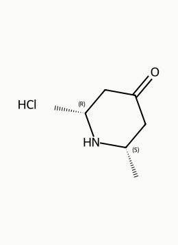 C[C@@H]1CC(=O)C[C@H](C)N1.Cl